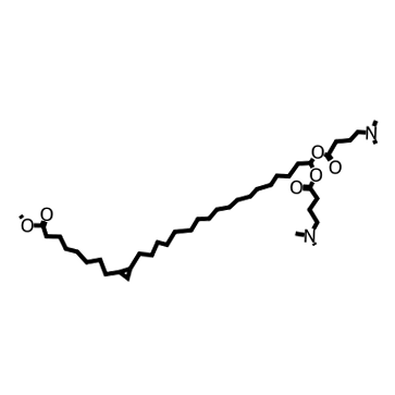 COC(=O)CCCCCCCC1CC1CCCCCCCCCCCCCCCCCC(OC(=O)CCCN(C)C)OC(=O)CCCN(C)C